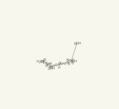 CC[C@@](C=O)(CCCCNC(=O)CC[C@H](NC(=O)COCCOCCNC(=O)COCCOCCNC(=O)CC[C@H](NC(=O)CCCCCCCCCCCCCCCCC(=O)O)C(=O)O)C(=O)O)NC